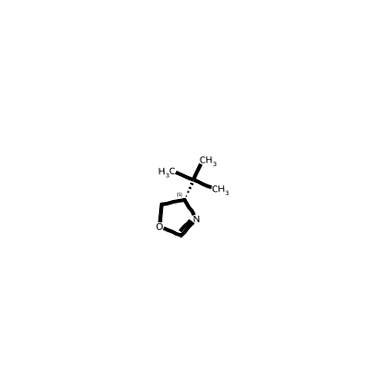 CC(C)(C)[C@H]1CO[C]=N1